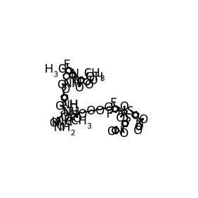 CC[C@@]1(O)C(=O)OCc2c1cc1n(c2=O)Cc2c-1nc1cc(F)c(C)c3c1c2[C@@H](NC(=O)OCc1ccc(NC(=O)[C@H](CCCNC(N)=O)NC(=O)[C@@H](NC(=O)COCCOCCOCCOc2c(F)cc(N4C(=O)C(Sc5ccc(C(=O)N6CCOCC6)cc5)=C(Sc5ccc(C(=O)N6CCOCC6)cc5)C4=O)cc2F)C(C)C)cc1)CC3